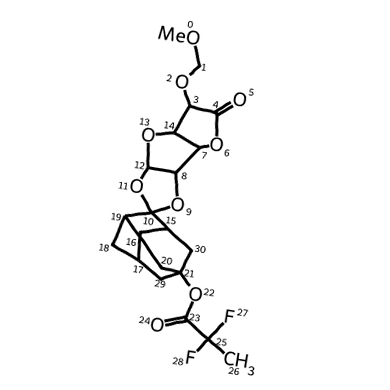 COCOC1C(=O)OC2C3OC4(OC3OC12)C1CC2CC4CC(OC(=O)C(C)(F)F)(C2)C1